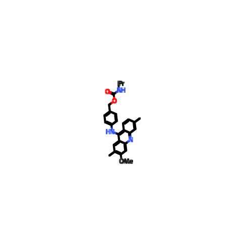 COc1cc2nc3cc(C)ccc3c(Nc3ccc(COC(=O)NC(C)C)cc3)c2cc1C